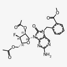 COC(=O)c1ccccc1Cn1c(=O)n([C@@H]2O[C@H](COC(C)=O)[C@@H](F)[C@H]2OC(C)=O)c2nc(N)ncc21